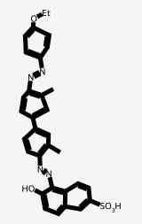 CCOc1ccc(N=Nc2ccc(-c3ccc(N=Nc4c(O)ccc5cc(S(=O)(=O)O)ccc45)c(C)c3)cc2C)cc1